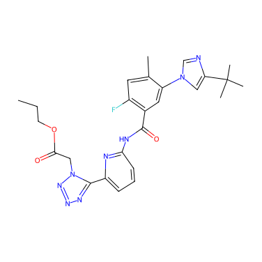 CCCOC(=O)Cn1nnnc1-c1cccc(NC(=O)c2cc(-n3cnc(C(C)(C)C)c3)c(C)cc2F)n1